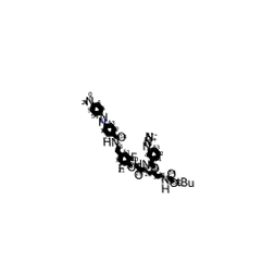 CN(C)c1ccc(/N=N/c2ccc(C(=O)NCCc3cc(F)c(OCC(=O)[C@H](CCCCNC(=O)OC(C)(C)C)NC(=O)c4cccc(N=[N+]=[N-])c4)c(F)c3)cc2)cc1